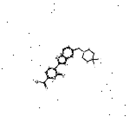 NC(=O)c1[c]cc(-c2cc3cc(CN4CCC(F)(F)CC4)ccc3[nH]2)c(=O)[nH]1